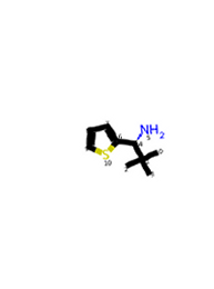 CC(C)(C)[C@@H](N)c1cccs1